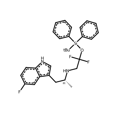 C[C@H](Cc1c[nH]c2ccc(F)cc12)NCC(F)(F)O[Si](c1ccccc1)(c1ccccc1)C(C)(C)C